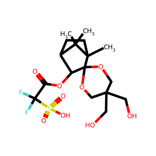 CC1(C)C2CCC1(C)C1(OCC(CO)(CO)CO1)C2OC(=O)C(F)(F)S(=O)(=O)O